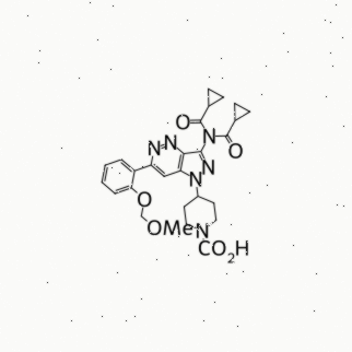 COCOc1ccccc1-c1cc2c(nn1)c(N(C(=O)C1CC1)C(=O)C1CC1)nn2C1CCN(C(=O)O)CC1